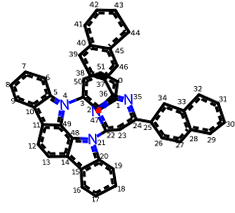 c1ccc(-n2c3ccccc3c3ccc4c5ccccc5n(-c5cc(-c6ccc7ccccc7c6)nc(-c6ccc7ccccc7c6)n5)c4c32)cc1